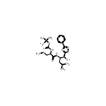 COCC(NC(=O)OC(C)(C)C)C(=O)NC(CC(C)C)C(O)c1nnc(-c2ccccc2)o1